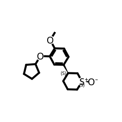 COc1ccc([C@@H]2CCC[S@@+]([O-])C2)cc1OC1CCCC1